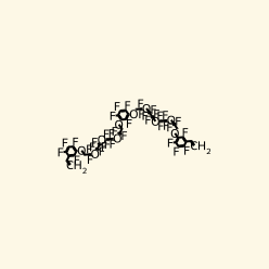 C=Cc1c(F)c(F)c(F)c(OCC(F)(F)OC(F)(F)C(F)(F)OC(F)(F)C(F)(F)OC(F)(F)COc2c(F)c(F)c(F)c(OCC(F)(F)OC(F)(F)C(F)(F)OC(F)(F)C(F)(F)OC(F)(F)COc3c(F)c(F)c(F)c(C=C)c3F)c2F)c1F